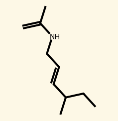 C=C(C)NC/C=C/C(C)CC